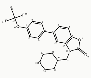 O=c1oc2ccc(-c3ccc(OC(F)(F)F)cc3)cc2n1CC1CCOCC1